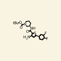 CC(C)(C)OC(=O)N1CCC[C@@H](NC(=O)c2sc(-c3ccc(F)c(F)c3)cc2N)C1